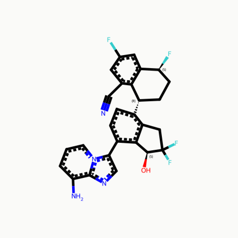 N#Cc1cc(F)cc2c1[C@@H](c1ccc(-c3cnc4c(N)cccn34)c3c1CC(F)(F)[C@H]3O)CC[C@@H]2F